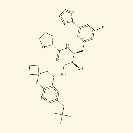 CC(C)(C)Cc1cnc2c(c1)[C@@H](NC[C@H](O)[C@H](Cc1cc(F)cc(-c3nccs3)c1)NC(=O)[C@H]1CCCO1)CC1(CCC1)O2